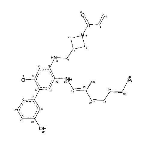 C=CC(=O)N1CC(CNc2cc(Cl)c(-c3cccc(O)c3)cc2N/C=C(C)/C=C\C=C\C(C)C)C1